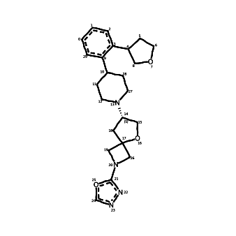 c1ccc(C2CCOC2)c(C2CCN([C@@H]3COC4(C3)CN(c3nnco3)C4)CC2)c1